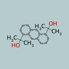 CC(C)(O)c1cccc2cc3c(C(C)(C)O)cccc3cc12